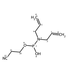 C=CCN(CC=C)P(O)OCCC#N